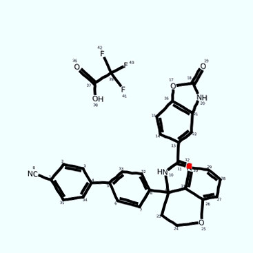 N#Cc1ccc(-c2ccc(C3(NC(=O)c4ccc5oc(=O)[nH]c5c4)CCOc4cccnc43)cc2)cc1.O=C(O)C(F)(F)F